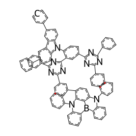 c1ccc(-c2ccc3c(c2)c2cc(-c4ccccc4)ccc2n3-c2ccc(-c3nc(-c4ccccc4)nc(-c4ccccc4)n3)cc2-c2nc(-c3ccccc3)nc(-c3cccc(-c4ccc5c6c4N(c4ccccc4)c4ccccc4B6c4ccccc4N5c4ccccc4)c3)n2)cc1